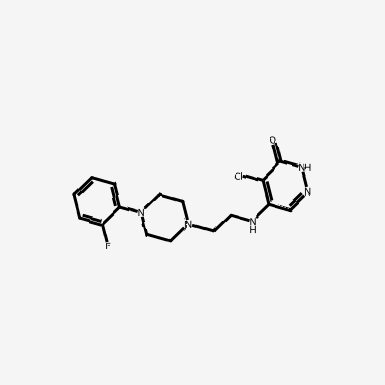 O=c1[nH]ncc(NCCN2CCN(c3ccccc3F)CC2)c1Cl